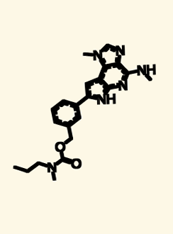 CCCN(C)C(=O)OCc1cccc(-c2cc3c(nc(NC)c4ncn(C)c43)[nH]2)c1